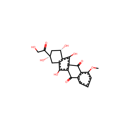 COc1cccc2c1C(=O)c1c(O)c3c(c(O)c1C2=O)C[C@@](O)(C(=O)CO)C[C@@H]3O